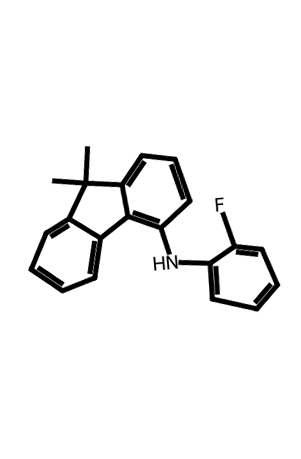 CC1(C)c2ccccc2-c2c(Nc3ccccc3F)cccc21